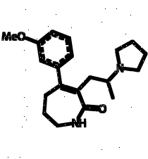 COc1cccc(C2=C(CC(C)N3CCCC3)C(=O)NCCC2)c1